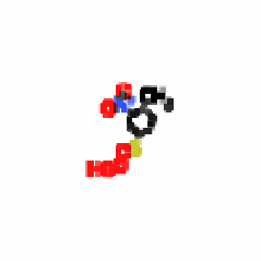 Cc1ccc(SOOO)cc1[N+](=O)[O-]